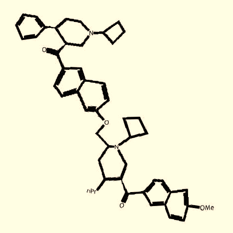 CCCC1CC(COc2ccc3cc(C(=O)[C@@H]4CN(C5CCC5)CC[C@@H]4c4ccccc4)ccc3c2)N(C2CCC2)C[C@H]1C(=O)c1ccc2cc(OC)ccc2c1